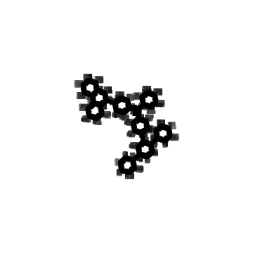 c1ccc(-c2ccc(-c3ccccc3)c(-c3ccc(N(c4ccccc4)c4ccc(-c5cc6ccccc6c6ccccc56)cc4)cc3)c2)cc1